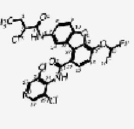 CCC(Cl)C(=O)Nc1ccc2oc3c(OC(F)F)ccc(C(=O)Nc4c(Cl)cncc4Cl)c3c2c1